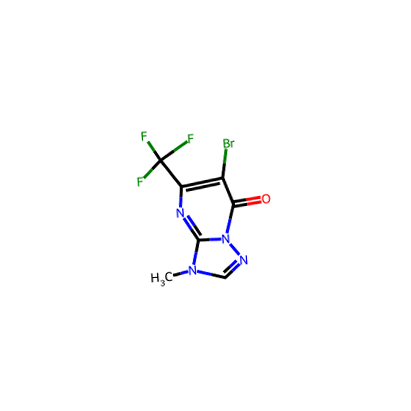 Cn1cnn2c(=O)c(Br)c(C(F)(F)F)nc12